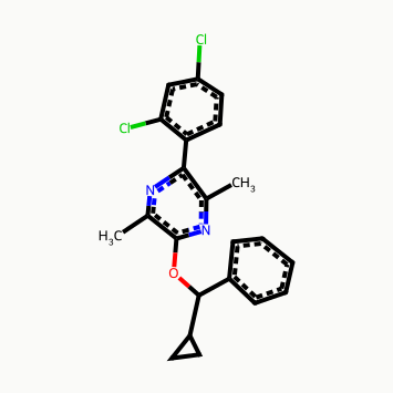 Cc1nc(-c2ccc(Cl)cc2Cl)c(C)nc1OC(c1ccccc1)C1CC1